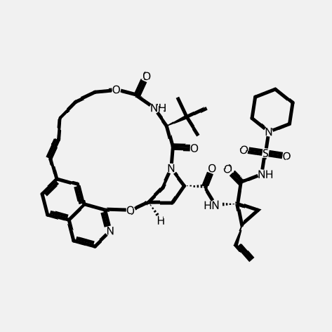 C=C[C@@H]1C[C@]1(NC(=O)[C@@H]1C[C@@H]2CN1C(=O)[C@H](C(C)(C)C)NC(=O)OCCC/C=C/c1ccc3ccnc(c3c1)O2)C(=O)NS(=O)(=O)N1CCCCC1